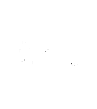 CCC1[C@@H]2CCc3cc(OC)ccc3[C@H]2CCC1(CC)CC